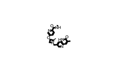 CNC(=O)c1ccc(O[C@H]2CN(Cc3cnc4cc(C)c(=O)[nH]c4c3)[C@@H]2C)cn1